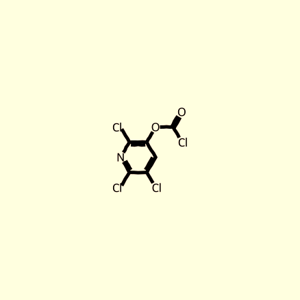 O=C(Cl)Oc1cc(Cl)c(Cl)nc1Cl